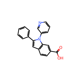 O=C(O)c1ccc2cc(-c3ccccc3)n(-c3cccnc3)c2c1